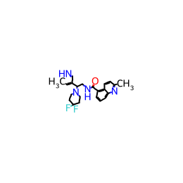 C/C=C(\C=N)C(CNC(=O)c1cccc2nc(C)ccc12)N1CCC(F)(F)CC1